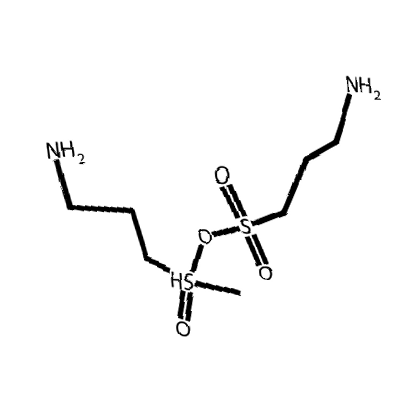 C[SH](=O)(CCCN)OS(=O)(=O)CCCN